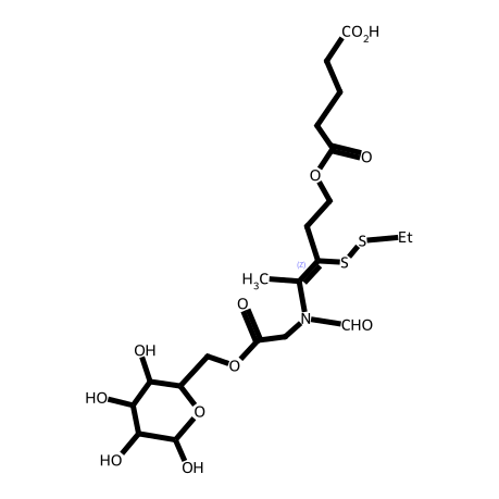 CCSS/C(CCOC(=O)CCCC(=O)O)=C(/C)N(C=O)CC(=O)OCC1OC(O)C(O)C(O)C1O